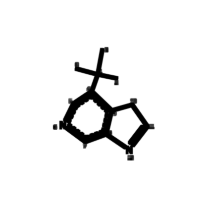 CC(C)(C)c1cncc2c1CC=N2